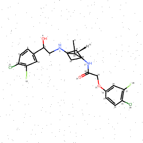 C[C@H]1C2(NCC(O)c3ccc(Cl)c(F)c3)CC1(NC(=O)COc1ccc(Cl)c(F)c1)C2